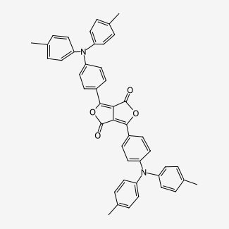 Cc1ccc(N(c2ccc(C)cc2)c2ccc(C3=C4C(=O)OC(c5ccc(N(c6ccc(C)cc6)c6ccc(C)cc6)cc5)=C4C(=O)O3)cc2)cc1